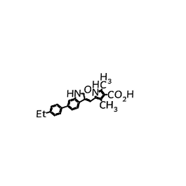 CCc1ccc(-c2ccc3c(c2)NC(=O)/C3=C\c2[nH]c(C)c(C(=O)O)c2C)cc1